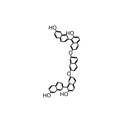 Oc1ccc2ccc(-c3c(O)ccc4ccc(Oc5ccc6ccc(Oc7ccc8ccc(O)c(-c9ccc%10ccc(O)cc%10c9)c8c7)cc6c5)cc34)cc2c1